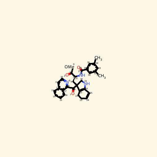 COC(=O)[C@H](CC1(C(=O)c2nccc3ccccc23)CNC2=C1CCC=C2)NC(=O)c1cc(C)cc(C)c1